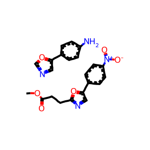 COC(=O)CCc1ncc(-c2ccc([N+](=O)[O-])cc2)o1.Nc1ccc(-c2cnco2)cc1